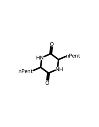 CCCCCC1NC(=O)C(CCCCC)NC1=O